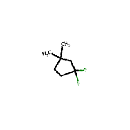 [CH2]C1(C)CCC(F)(F)C1